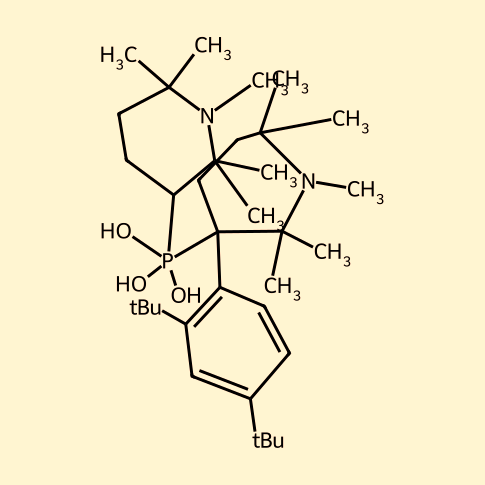 CN1C(C)(C)CCC(P(O)(O)(O)C2(c3ccc(C(C)(C)C)cc3C(C)(C)C)CCC(C)(C)N(C)C2(C)C)C1(C)C